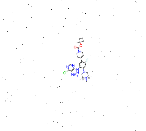 C[C@@H]1CN(c2cc(F)c(C3=CCN(C(=O)OC4(C)CCC4)CC3)cc2Nc2ncnc(Cl)c2N)C[C@H](C)N1C